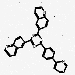 c1ccc(-c2ccc(-c3nc(-c4ccc5ncccc5c4)nc(-c4ccc5ncccc5c4)n3)cc2)nc1